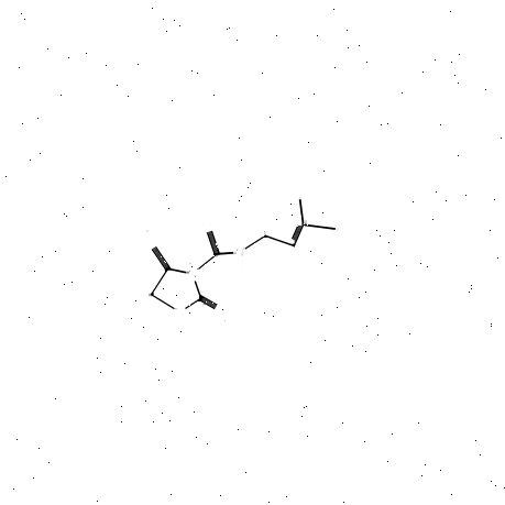 CC(C)=CCNC(=O)N1C(=O)CSC1=O